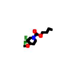 CCCCOC(=O)N1CCC(OC)C(F)(F)C1